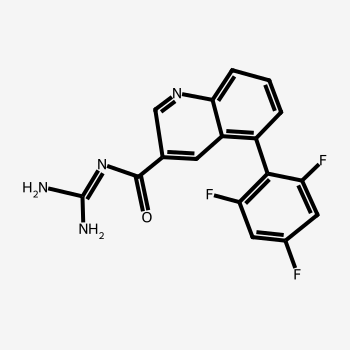 NC(N)=NC(=O)c1cnc2cccc(-c3c(F)cc(F)cc3F)c2c1